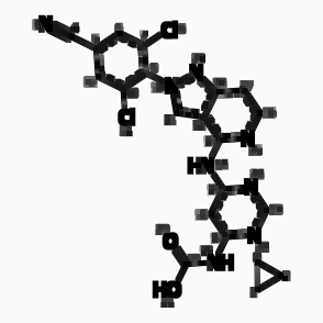 C1CC1.N#Cc1cc(Cl)c(-n2cc3c(Nc4cc(NC(=O)O)ncn4)nccc3n2)c(Cl)c1